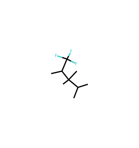 CC(C)C(C)(C)C(C)C(F)(F)F